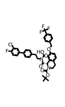 CC(C)(C)OC(=O)N1CCc2ccc(OCc3ccc(C(F)(F)F)cc3)cc2[C@H]1C(=O)N(CCc1ccc(-c2ccc(F)c(Cl)c2)cc1)C(=O)O